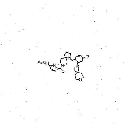 CC(=O)Nc1ccn(C(=O)N2CCC3(CCCN3Cc3ccc(Cl)cc3N3CCC4(CCOCC4)C3)CC2)n1